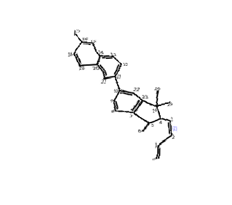 C=C/C=C\C1C(C)c2ccc(-c3ccc4cc(I)ccc4c3)cc2C1(C)C